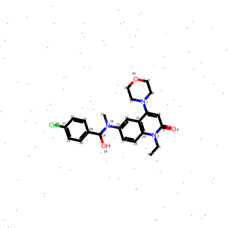 CCn1c(=O)cc(N2CCOCC2)c2cc(N(C)C(O)c3ccc(Cl)cc3)ccc21